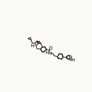 C[C@H]1[C@H]2Cc3ccc(C(=O)NCCc4ccc(-c5cn[nH]c5)cc4)cc3[C@]1(C)CCC2CC1CC1